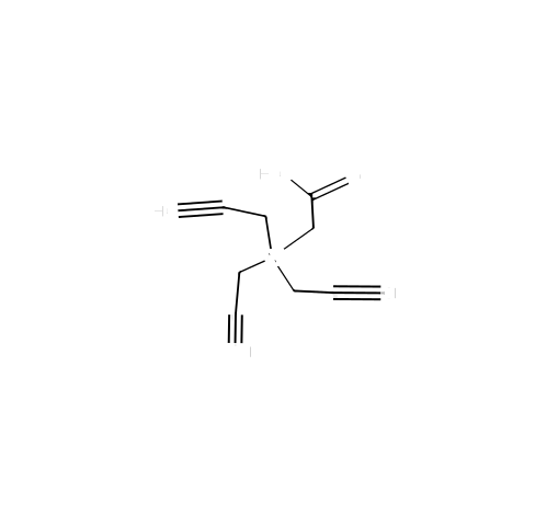 C#CC[N+](CC#C)(CC#C)CC(C)=O